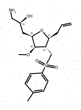 C=CC[C@@H]1O[C@H](C[C@H](O)CN)[C@H](OC)[C@H]1CS(=O)(=O)c1ccc(C)cc1